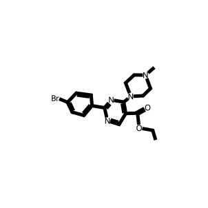 CCOC(=O)c1cnc(-c2ccc(Br)cc2)nc1N1CCN(C)CC1